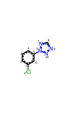 Clc1cc[c]c(-n2ncnn2)c1